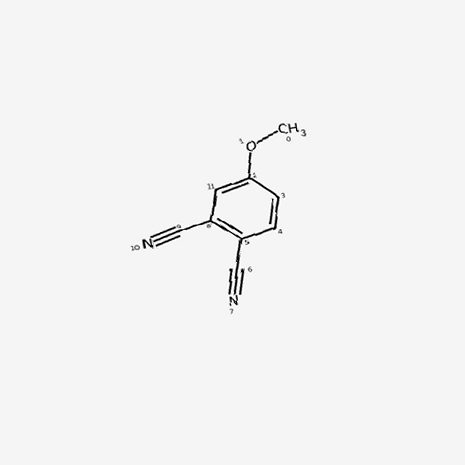 COc1ccc(C#N)c(C#N)c1